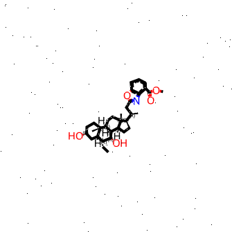 CC[C@H]1[C@@H](O)[C@@H]2[C@H](CC[C@]3(C)[C@@H]([C@H](C)Cc4nc5c(C(=O)OC)cccc5o4)CC[C@@H]23)[C@@]2(C)CC[C@@H](O)C[C@@H]12